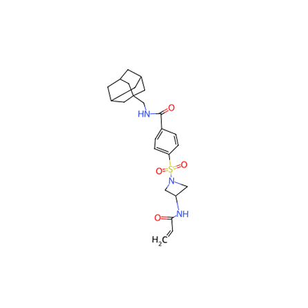 C=CC(=O)NC1CN(S(=O)(=O)c2ccc(C(=O)NCC34CC5CC(CC(C5)C3)C4)cc2)C1